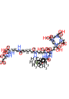 CC(C)(C)[Si](F)(c1ccc(C(=O)NC[C@H](NC(=O)CC[C@H](C(=O)O)N2CCN(CC(=O)O)CCN(CC(=O)O)CCN(CC(=O)O)CC2)C(=O)N[C@@H](CCCCNC(=O)CCCCCCC(=O)NCCCC[C@H](NC(=O)N[C@@H](CCC(=O)O)C(=O)O)C(=O)O)C(=O)O)cc1)C(C)(C)C